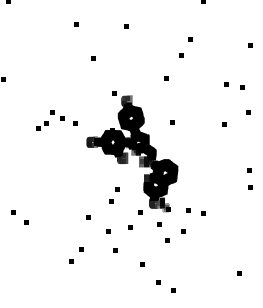 Cc1cnc2c(NCC3=NN(c4ccc(Cl)cc4Cl)C(c4ccc(Cl)cc4)C3)cccc2c1